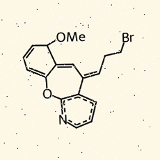 COC1C=CC=C2Oc3ncccc3C(=CCCBr)C=C21